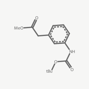 COC(=O)Cc1cccc(NC(=O)OC(C)(C)C)c1